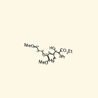 CCOC(=O)[C@@H](C(C)C)[C@H](O)c1cnc(OC)c(OCCCOC)c1